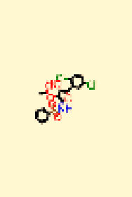 CC(=O)Oc1c(NS(=O)(=O)c2ccccc2)oc(-c2cc(Cl)ccc2Cl)c1O